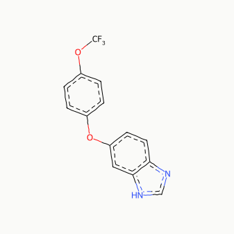 FC(F)(F)Oc1ccc(Oc2ccc3nc[nH]c3c2)cc1